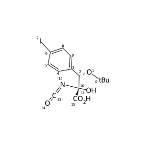 CC(C)(C)O[C@@H](c1ccc(I)cc1)[C@](O)(N=C=O)C(=O)O